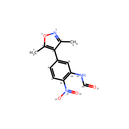 Cc1noc(C)c1-c1ccc([N+](=O)[O-])c(NC=O)c1